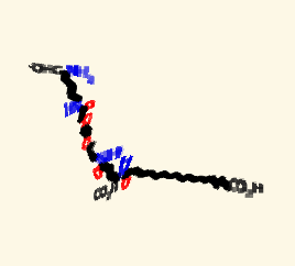 N[C@H]([C]=O)CCCCNC(=O)COCCOCCNC(=O)CC[C@H](NC(=O)CCCCCCCCCCCCCCCCC(=O)O)C(=O)O